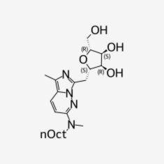 CCCCCCCCN(C)c1ccc2c(C)nc(C[C@@H]3O[C@H](CO)[C@@H](O)[C@H]3O)n2n1